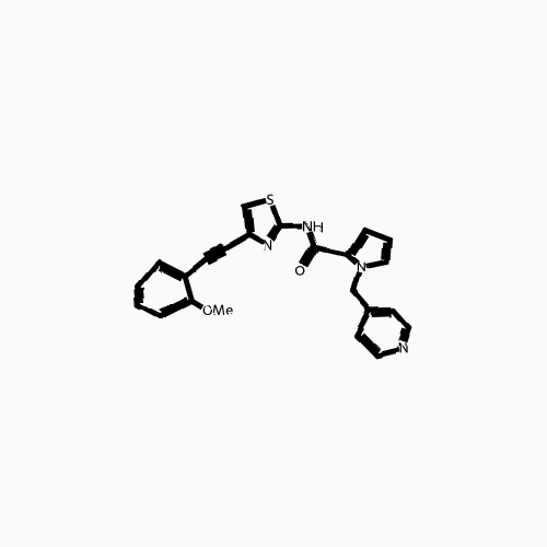 COc1ccccc1C#Cc1csc(NC(=O)c2cccn2Cc2ccncc2)n1